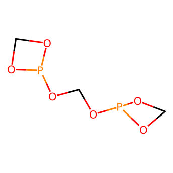 C1OP(OCOP2OCO2)O1